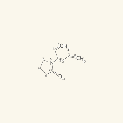 C=CC=C(C=C)N1CCCC1=O